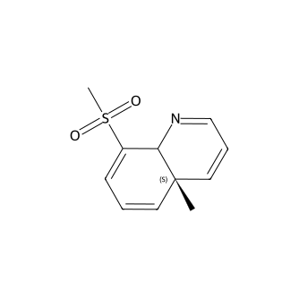 C[C@]12C=CC=NC1C(S(C)(=O)=O)=CC=C2